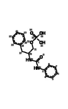 O=C(Nc1ccccc1)NC(COP(=O)(O)O)Cc1ccccc1